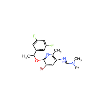 CCN(C)/C=N/c1cc(Br)c(OC(C)c2cc(F)cc(F)c2)nc1C